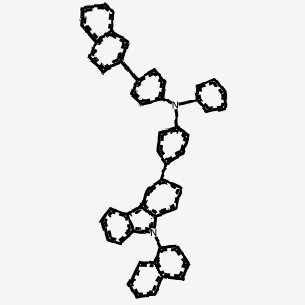 c1ccc(N(c2ccc(-c3ccc4ccccc4c3)cc2)c2ccc(-c3ccc4c(c3)c3ccccc3n4-c3cccc4ccccc34)cc2)cc1